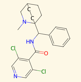 CN1CC2CCC1(C(NC(=O)c1c(Cl)cncc1Cl)c1ccccc1)CC2